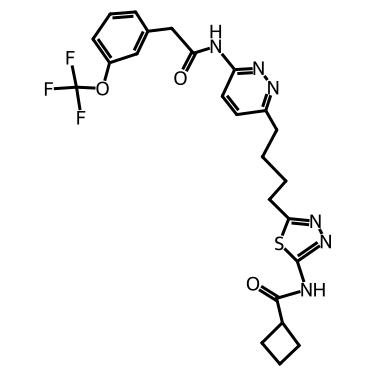 O=C(Cc1cccc(OC(F)(F)F)c1)Nc1ccc(CCCCc2nnc(NC(=O)C3CCC3)s2)nn1